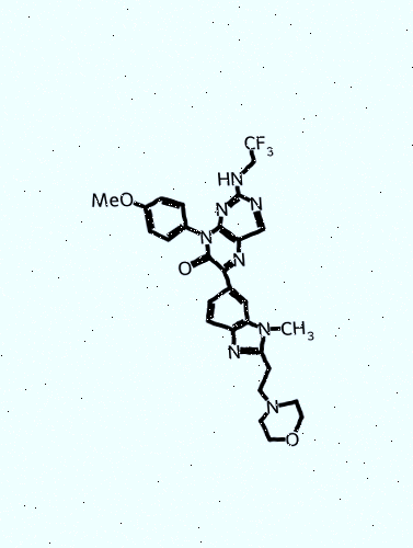 COc1ccc(-n2c(=O)c(-c3ccc4nc(CCN5CCOCC5)n(C)c4c3)nc3cnc(NCC(F)(F)F)nc32)cc1